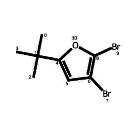 CC(C)(C)c1cc(Br)c(Br)o1